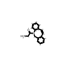 NCC(=O)N1Cc2ccccc2C#Cc2ccccc21